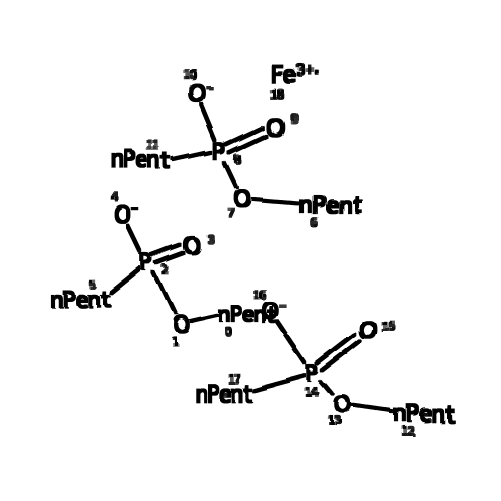 CCCCCOP(=O)([O-])CCCCC.CCCCCOP(=O)([O-])CCCCC.CCCCCOP(=O)([O-])CCCCC.[Fe+3]